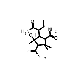 CCC(C(N)=O)C(C(CC)C(N)=O)C(C)(O)C(CC)C(N)=O